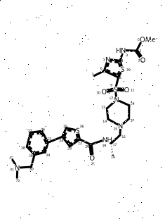 COC(=O)Nc1nc(C)c(S(=O)(=O)N2CCN(C[C@H](C)NC(=O)c3cc(-c4cccc(CN(C)C)c4)cs3)CC2)s1